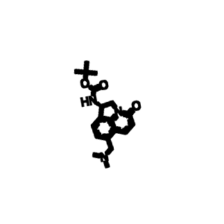 CN(C)Cc1ccc2c3c1ccc(=O)n3C[C@@H]2NC(=O)OC(C)(C)C